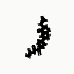 CCC(F)CC(=O)Nc1ccc(-c2ccc3ncn(CC4CC4)c(=O)c3c2)cn1